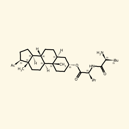 CC[C@H](C)[C@H](N)C(=O)N[C@H](C(=O)O[C@@H]1CC[C@@]2(C)[C@@H](CC[C@@H]3[C@@H]2CC[C@]2(C)[C@@H](C(C)=O)CC[C@@H]32)C1)C(C)C